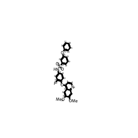 COc1cc2nccc(Oc3ccc(NS(=O)(=O)c4cccc(Oc5ccccc5)c4)cc3F)c2cc1OC